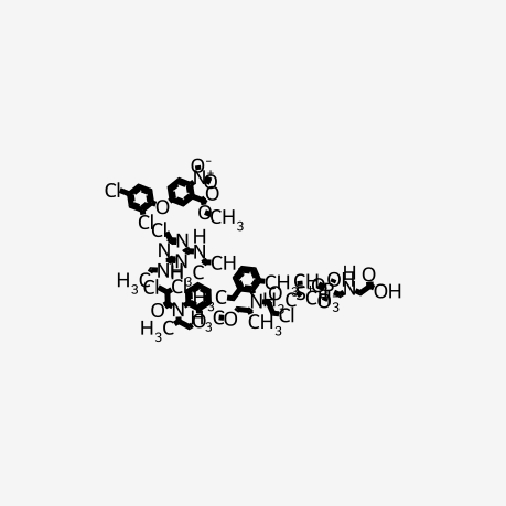 CC1COc2ccccc2N1C(=O)C(Cl)Cl.CCNc1nc(Cl)nc(NC(C)C)n1.CCc1cccc(C)c1N(C(=O)CCl)C(C)COC.COC(=O)c1cc(Oc2ccc(Cl)cc2Cl)ccc1[N+](=O)[O-].C[S+](C)C.O=C(O)CNCP(=O)([O-])O